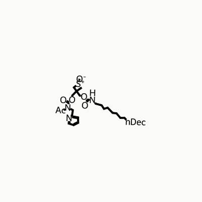 CCCCCCCCCCCCCCCCCCNC(=O)OCC1(COC(=O)N(Cc2ccccn2)C(C)=O)C[S+]([O-])C1